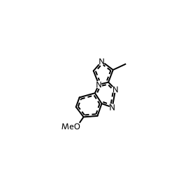 COc1ccc2c(c1)nnc1c(C)ncn12